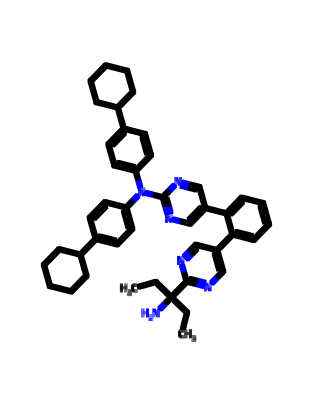 CCC(N)(CC)c1ncc(-c2ccccc2-c2cnc(N(c3ccc(C4CCCCC4)cc3)c3ccc(C4CCCCC4)cc3)nc2)cn1